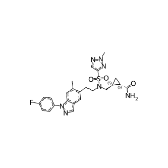 Cc1cc2c(cnn2-c2ccc(F)cc2)cc1CCN(C[C@H]1C[C@@H]1C(N)=O)S(=O)(=O)c1cnn(C)n1